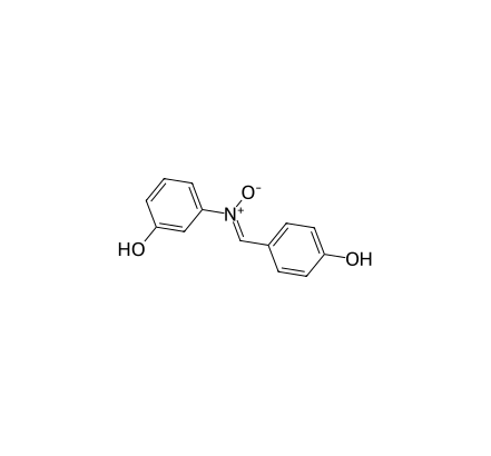 [O-][N+](=Cc1ccc(O)cc1)c1cccc(O)c1